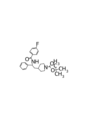 CC(C)(C)OC(=O)N1CCC(CC(NC(=O)c2ccc(F)cc2)c2ccccc2)CC1